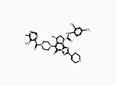 Cc1ncnc(C(=O)N2CCN(c3c4n(c5nc(C6=CCOCC6)nn5c3=O)[C@@H](C(=O)Nc3ccc(C(F)(F)F)cc3Cl)C[C@@H]4C)CC2)c1O